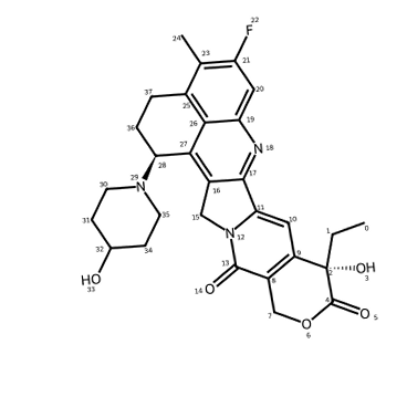 CC[C@@]1(O)C(=O)OCc2c1cc1n(c2=O)Cc2c-1nc1cc(F)c(C)c3c1c2[C@@H](N1CCC(O)CC1)CC3